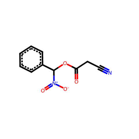 N#CCC(=O)OC(c1ccccc1)[N+](=O)[O-]